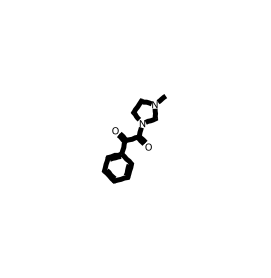 CN1CCN(C(=O)C(=O)c2ccccc2)C1